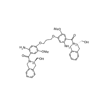 COc1cc(C(=O)N2Cc3ccccc3C[C@H]2CO)c(N)cc1OCCCOc1cc(N)c(C(=O)N2Cc3ccccc3C[C@@H]2CO)cc1OC